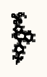 CS(=O)(=O)O[C@H]1C[C@@H]2CN(c3ccc(C(F)(F)F)cc3)c3cccnc3N2C1